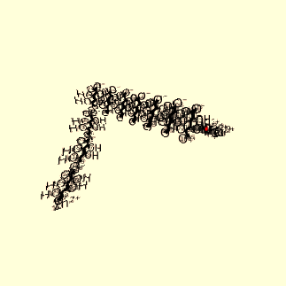 O=C[C@H](O)[C@@H](O)[C@@H](O)[C@H](O)C(=O)[O-].O=C[C@H](O)[C@@H](O)[C@@H](O)[C@H](O)C(=O)[O-].O=C[C@H](O)[C@@H](O)[C@@H](O)[C@H](O)C(=O)[O-].O=C[C@H](O)[C@@H](O)[C@@H](O)[C@H](O)C(=O)[O-].O=C[C@H](O)[C@@H](O)[C@@H](O)[C@H](O)C(=O)[O-].O=C[C@H](O)[C@@H](O)[C@@H](O)[C@H](O)C(=O)[O-].O=C[C@H](O)[C@@H](O)[C@@H](O)[C@H](O)C(=O)[O-].O=C[C@H](O)[C@@H](O)[C@@H](O)[C@H](O)C(=O)[O-].O=C[C@H](O)[C@@H](O)[C@@H](O)[C@H](O)C(=O)[O-].O=C[C@H](O)[C@@H](O)[C@@H](O)[C@H](O)C(=O)[O-].[Co+2].[Cr+3].[Cu+2].[Fe+2].[K+].[Mg+2].[Mn+2].[Zn+2]